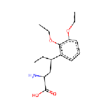 CCOc1cccc(C(CC)CC(N)C(=O)O)c1OCC